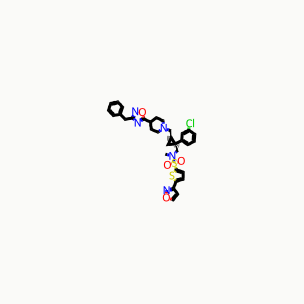 CN(C[C@@]1(c2cccc(Cl)c2)C[C@H]1CN1CCC(c2nc(Cc3ccccc3)no2)CC1)S(=O)(=O)c1ccc(-c2ccon2)s1